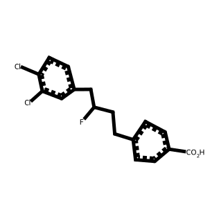 O=C(O)c1ccc(CCC(F)Cc2ccc(Cl)c(Cl)c2)cc1